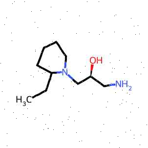 CCC1CCCCN1C[C@@H](O)CN